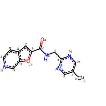 Cc1cnc(CNC(=O)c2cc3ccncc3o2)nc1